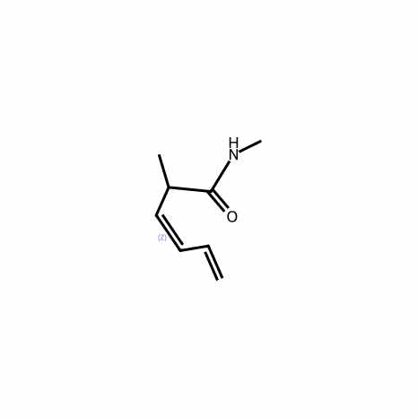 C=C/C=C\C(C)C(=O)NC